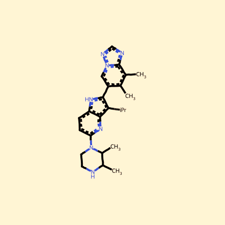 Cc1c(-c2[nH]c3ccc(N4CCNC(C)C4C)nc3c2C(C)C)cn2ncnc2c1C